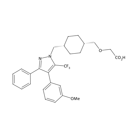 COc1cccc(-c2c(-c3ccccc3)nn(C[C@H]3CC[C@@H](COCC(=O)O)CC3)c2C(F)(F)F)c1